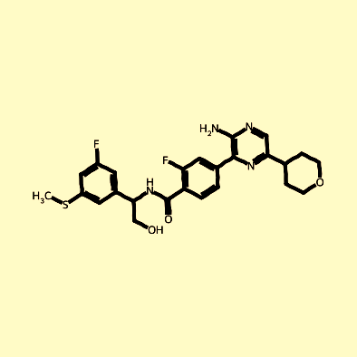 CSc1cc(F)cc(C(CO)NC(=O)c2ccc(-c3nc(C4CCOCC4)cnc3N)cc2F)c1